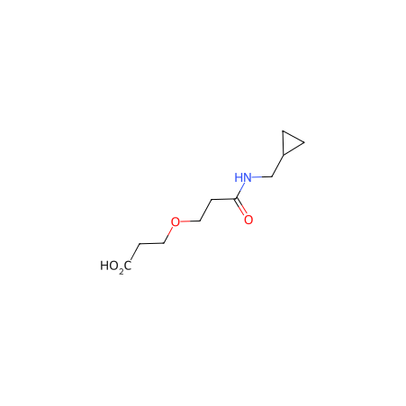 O=C(O)CCOCCC(=O)NCC1CC1